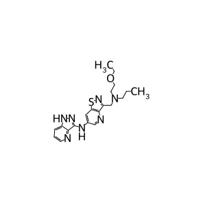 CCCN(CCOCC)Cc1nsc2cc(Nc3n[nH]c4cccnc34)cnc12